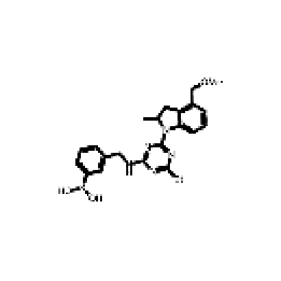 CCc1nc(NCc2cccc(B(O)O)c2)nc(N2c3cccc(COC)c3CC2C)n1